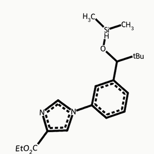 CCOC(=O)c1cn(-c2cccc(C(O[SiH](C)C)C(C)(C)C)c2)cn1